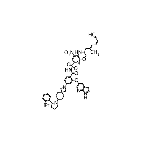 C#C/C=C\C=C(/C)C[C@H]1COc2nc(S(=O)(=O)NC(=O)c3ccc(N4CC5(CCC(N6CCCC6c6ccccc6C(C)C)CC5)C4)cc3Oc3cnc4[nH]ccc4c3)cc([N+](=O)[O-])c2N1